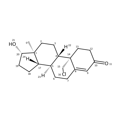 C[C@]12CC[C@H]3[C@@H](CCC4=CC(=O)CC[C@@]43CCl)[C@@H]1CC[C@@H]2O